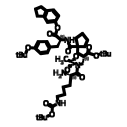 CC(C)(C)OC(=O)NCCCC[C@H](N)C(=O)N(C[C@H](CC1(C(=O)N[C@@H](Cc2ccc(OC(C)(C)C)cc2)C(=O)Oc2ccc3c(c2)CCC3)CCCC1)C(=O)OC(C)(C)C)S(C)(=O)=O